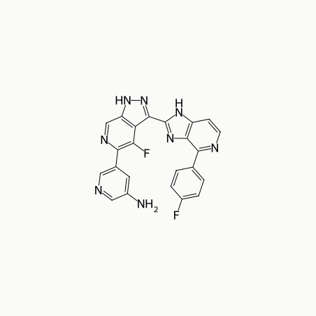 Nc1cncc(-c2ncc3[nH]nc(-c4nc5c(-c6ccc(F)cc6)nccc5[nH]4)c3c2F)c1